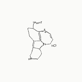 CCCCCC1CCC2=C3CNCCC3N3CC=CSC1=C23.Cl